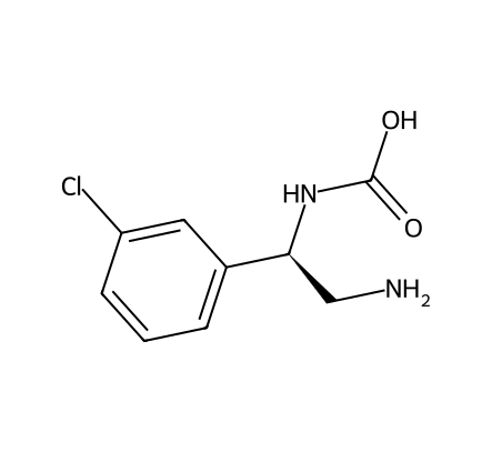 NC[C@H](NC(=O)O)c1cccc(Cl)c1